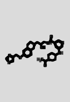 CC(=O)N1CCC(Nc2cncc(C(=O)NCC(O)CN3CCc4cc(OCc5cnco5)ccc4C3)c2)CC1